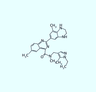 CCn1ncc(CN(C)C(=O)c2nc(-c3cc(C)c4c(c3)NCCN4)nc3ccc(C)cc23)c1C